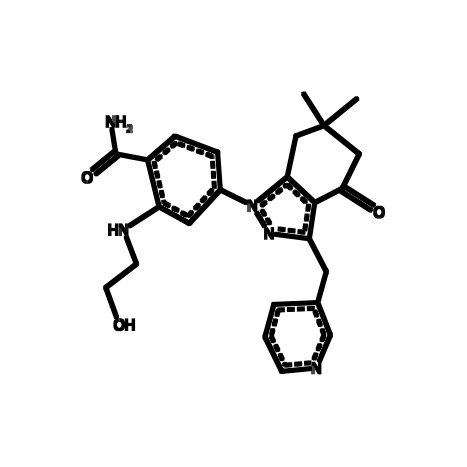 CC1(C)CC(=O)c2c(Cc3cccnc3)nn(-c3ccc(C(N)=O)c(NCCO)c3)c2C1